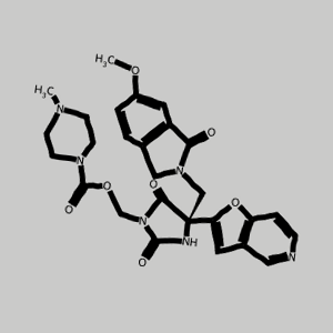 COc1ccc2c(c1)C(=O)N(C[C@@]1(c3cc4cnccc4o3)NC(=O)N(COC(=O)N3CCN(C)CC3)C1=O)C2